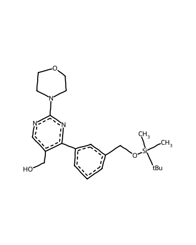 CC(C)(C)[Si](C)(C)OCc1cccc(-c2nc(N3CCOCC3)ncc2CO)c1